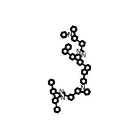 c1ccc(-c2ccc3c4ccc(-c5ccccc5)cc4c4nc(-c5cccc(-c6ccc7c(c6)c6ccccc6n7-c6ccc(-c7ccc8c(-c9ccc%10c%11ccc(-c%12cccc%13ccccc%12%13)cc%11c%11nc(-c%12cccc(-c%13ccc%14c(c%13)c%13ccccc%13n%14-c%13ccccc%13)c%12)cnc%11c%10c9)cccc8c7)cc6)c5)cnc4c3c2)cc1